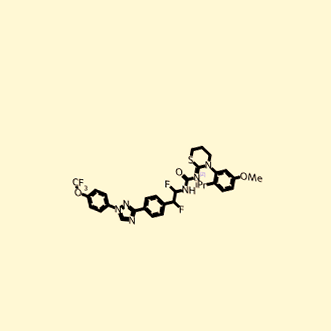 COc1ccc(C(C)C)c(N2CCCS/C2=N\C(=O)NC(F)C(F)c2ccc(-c3ncn(-c4ccc(OC(F)(F)F)cc4)n3)cc2)c1